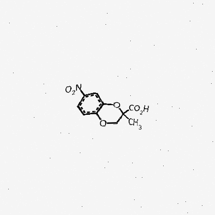 CC1(C(=O)O)COc2ccc([N+](=O)[O-])cc2O1